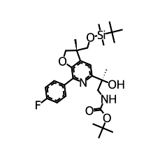 CC(C)(C)OC(=O)NC[C@](C)(O)c1cc2c(c(-c3ccc(F)cc3)n1)OC[C@]2(C)CO[Si](C)(C)C(C)(C)C